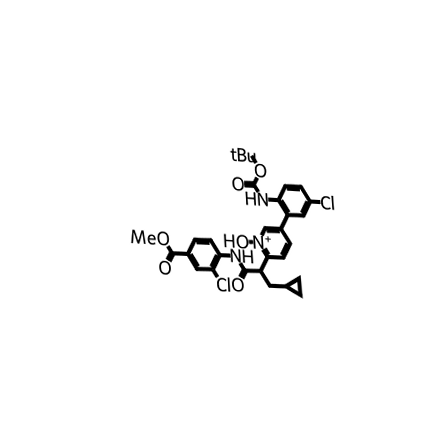 COC(=O)c1ccc(NC(=O)C(CC2CC2)c2ccc(-c3cc(Cl)ccc3NC(=O)OC(C)(C)C)c[n+]2O)c(Cl)c1